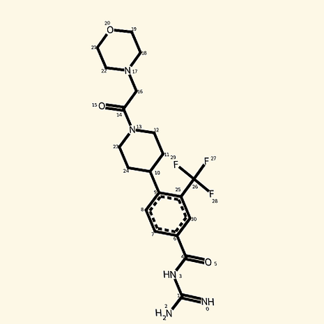 N=C(N)NC(=O)c1ccc(C2CCN(C(=O)CN3CCOCC3)CC2)c(C(F)(F)F)c1